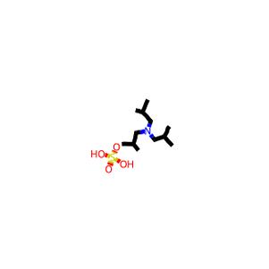 CC(C)CN(CC(C)C)CC(C)C.O=S(=O)(O)O